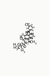 C[C@H]1CN(C(=O)OC(C)(C)C)CCN1c1ncnc2c1c(C1CCOCC1)nn2-c1cccc(Cl)c1